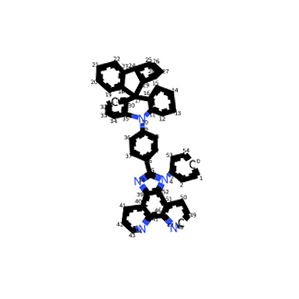 c1ccc(-n2c(-c3ccc(N4c5ccccc5C5(c6ccccc6-c6ccccc65)c5ccccc54)cc3)nc3c4cccnc4c4ncccc4c32)cc1